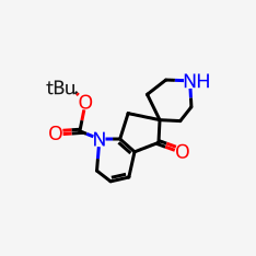 CC(C)(C)OC(=O)N1CC=CC2=C1CC1(CCNCC1)C2=O